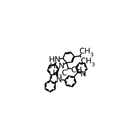 CC(C)C1=CC(N)(C(C)C)C(Nc2ccc3c4ccccc4n(-c4cccc(-c5ccccn5)c4)c3c2)C=C1